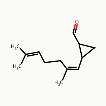 CC(C)=CCCC(C)=CC1CC1C=O